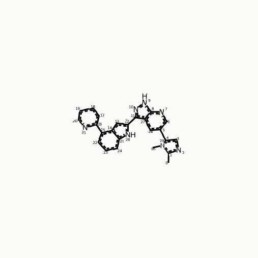 Cc1ncc(-c2cnc3[nH]nc(-c4cc5c(-c6ccccn6)cccc5[nH]4)c3c2)n1C